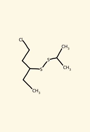 CCC(CCCl)SSC(C)C